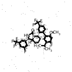 COc1cc(F)c(C(C)C)cc1-c1ccc(C(F)(F)F)cc1[C@@H]1CCC[C@H]2[C@@H](c3cc(F)cc(C(F)(F)F)c3)NC(=O)N12